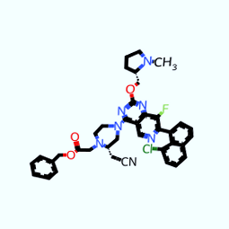 CN1CCC[C@H]1COc1nc(N2CCN(CC(=O)OCc3ccccc3)[C@@H](CC#N)C2)c2cnc(-c3cccc4cccc(Cl)c34)c(F)c2n1